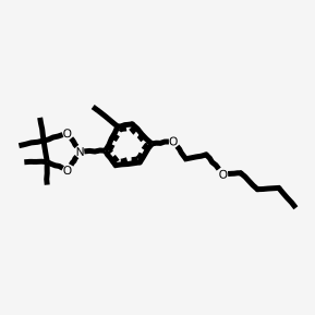 CCCCOCCOc1ccc(N2OC(C)(C)C(C)(C)O2)c(C)c1